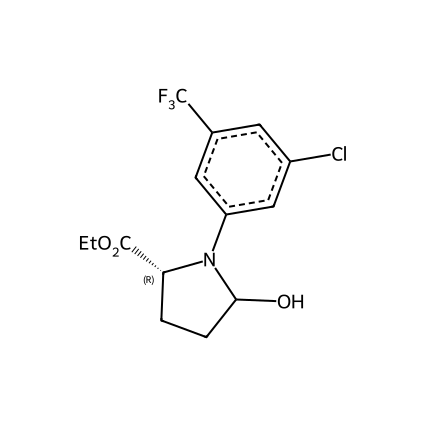 CCOC(=O)[C@H]1CCC(O)N1c1cc(Cl)cc(C(F)(F)F)c1